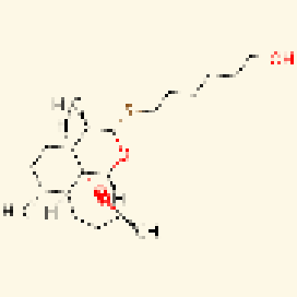 C[C@H]1[C@H](SCCCCCCO)O[C@@H]2O[C@@]3(C)CC[C@H]4[C@H](C)CC[C@@H]1[C@@]24OO3